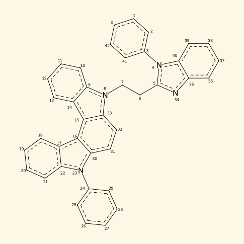 c1ccc(-n2c(CCn3c4ccccc4c4c5c6ccccc6n(-c6ccccc6)c5ccc43)nc3ccccc32)cc1